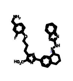 NCc1ccc(OCCCc2sc(-c3ccc4c(c3)/C(=N/Nc3nc5ccccc5s3)CCC4)nc2C(=O)O)c(F)c1